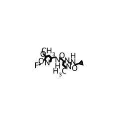 COc1cc(CNC(=O)c2cc(C)nc(NC(=O)C3CC3)n2)cnc1OCF